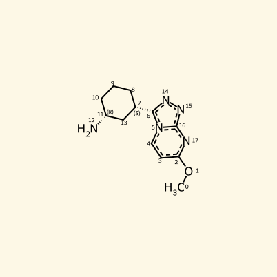 COc1ccn2c([C@H]3CCC[C@@H](N)C3)nnc2n1